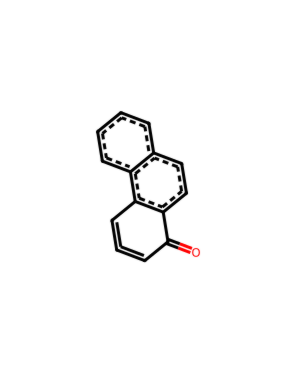 O=C1C=C=Cc2c1ccc1ccccc21